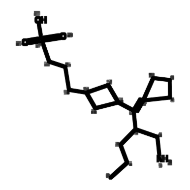 CCCC(CN)C(=C1CCC1)C1CC(CCCS(=O)(=O)O)C1